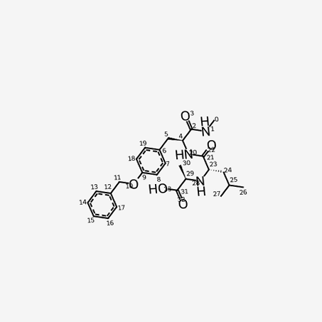 CNC(=O)[C@H](Cc1ccc(OCc2ccccc2)cc1)NC(=O)[C@H](CC(C)C)N[C@H](C)C(=O)O